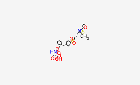 Cc1sc(-c2ccco2)nc1CCCCS(=O)(=O)c1ccc(Cc2ccccc2COC(=O)NC(CO)C(=O)O)cc1